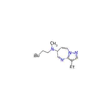 CCc1cnn2c1N=CC(N(C)CCC(C)CC)C=C2